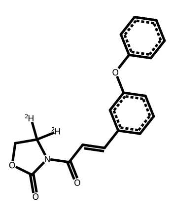 [2H]C1([2H])COC(=O)N1C(=O)/C=C/c1cccc(Oc2ccccc2)c1